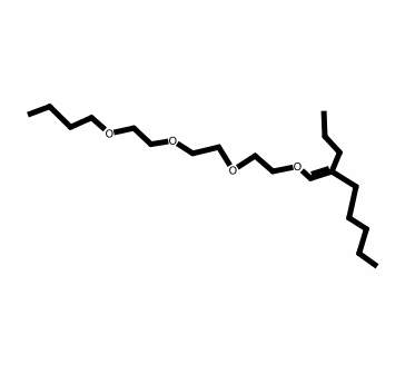 CCCCCC(=COCCOCCOCCOCCCC)CCC